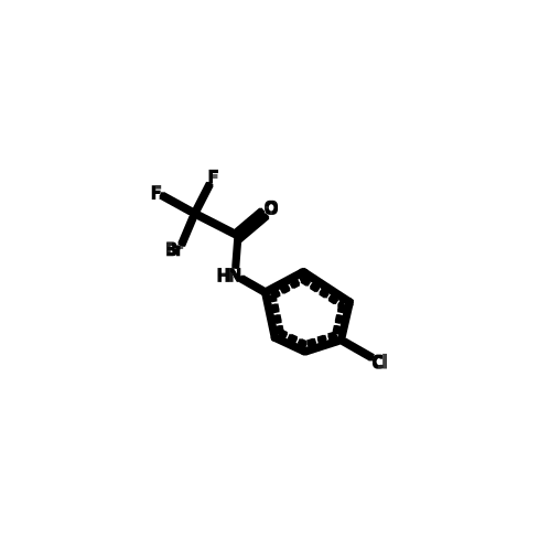 O=C(Nc1ccc(Cl)cc1)C(F)(F)Br